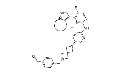 C[C@@H]1CCCCn2ncc(-c3nc(Nc4ccc(N5CC6(CN(Cc7ccc(CCl)cc7)C6)C5)cn4)ncc3F)c21